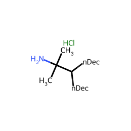 CCCCCCCCCCC(CCCCCCCCCC)C(C)(C)N.Cl